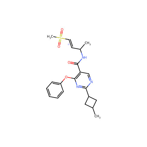 CC1CC(c2ncc(C(=O)NC(C)/C=C/S(C)(=O)=O)c(Oc3ccccc3)n2)C1